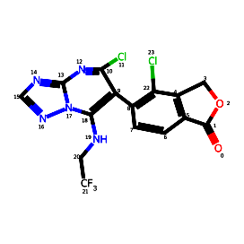 O=C1OCc2c1ccc(-c1c(Cl)nc3ncnn3c1NCC(F)(F)F)c2Cl